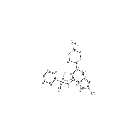 CCc1cc2nc(N3CCN(C)CC3)cc(NS(=O)(=O)c3ccccc3)n2n1